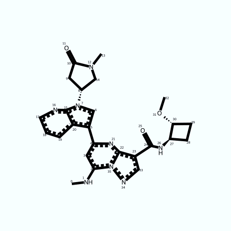 CNc1cc(-c2cn([C@@H]3CC(=O)N(C)C3)c3ncccc23)nc2c(C(=O)N[C@@H]3CC[C@H]3OC)cnn12